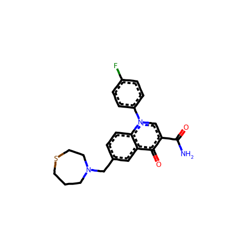 NC(=O)c1cn(-c2ccc(F)cc2)c2ccc(CN3CCCSCC3)cc2c1=O